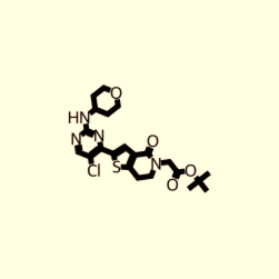 CC(C)(C)OC(=O)CN1CCc2sc(-c3nc(NC4CCOCC4)ncc3Cl)cc2C1=O